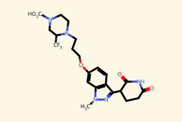 Cn1nc(C2CCC(=O)NC2=O)c2ccc(OCCCN3CCN(C(=O)O)CC3C(F)(F)F)cc21